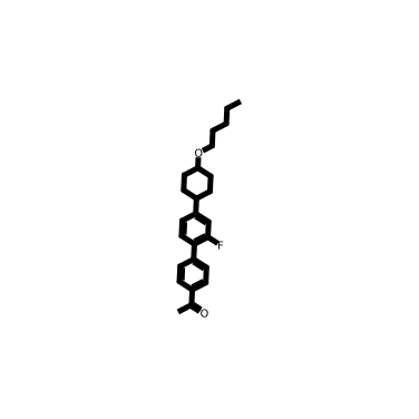 CCCCCOC1CCC(c2ccc(-c3ccc(C(C)=O)cc3)c(F)c2)CC1